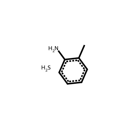 Cc1ccccc1N.S